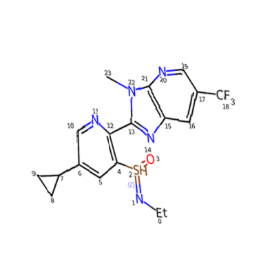 CC/N=[SH](=O)/c1cc(C2CC2)cnc1-c1nc2cc(C(F)(F)F)cnc2n1C